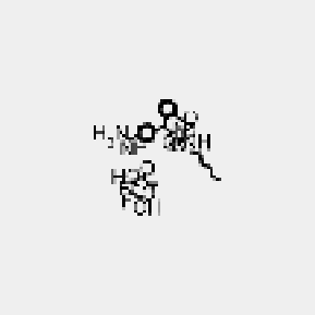 CCC(=O)O.CCCCCCNC(=O)[N+]1([O-])C(=O)c2ccccc2C(c2ccc(C(=N)N)cc2)C1OC.O=C(O)C(F)(F)F